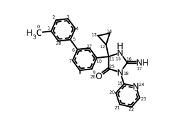 Cc1cccc(-c2cccc(C3(C4CC4)NC(=N)N(c4ccccn4)C3=O)c2)c1